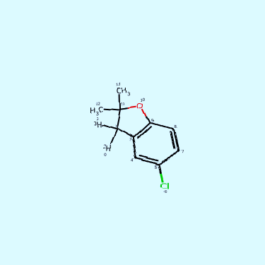 [2H]C1([2H])c2cc(Cl)ccc2OC1(C)C